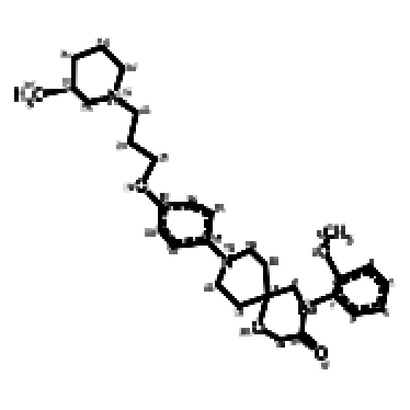 COc1ccccc1N1CC2(CCN(c3ccc(OCCCN4CCC[C@H](C)C4)cc3)CC2)OCC1=O